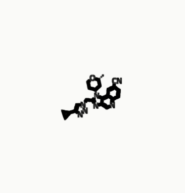 C[C@@H]1C[C@H](n2c(Cn3cc(C4CC4)nn3)nc3cnc4ccc(C#N)cc4c32)CCO1